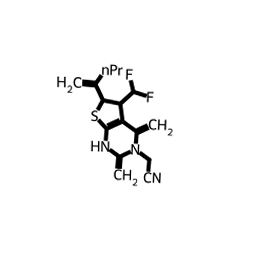 C=C(CCC)C1SC2=C(C(=C)N(CC#N)C(=C)N2)C1C(F)F